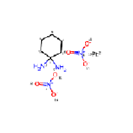 NC1(N)CCCCC1.O=[N+]([O-])[O-].O=[N+]([O-])[O-].[Pt+2]